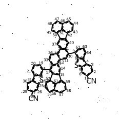 N#Cc1ccc2c(c1)sc1c(-c3cc4c5cc6c(c(-c7cccc8c7sc7cc(C#N)ccc78)c5ccc4c4cc5c(cc34)-c3cccc4cccc-5c34)-c3cccc4cccc-6c34)cccc12